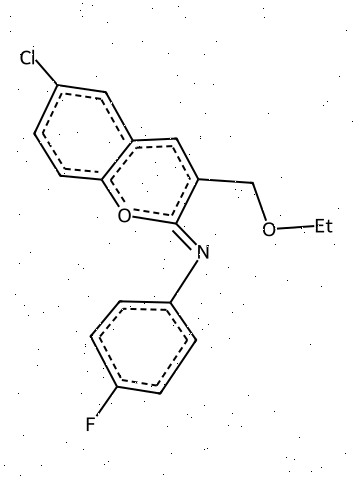 CCOCc1cc2cc(Cl)ccc2oc1=Nc1ccc(F)cc1